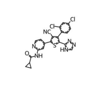 N#Cc1c(-c2ccnc(NC(=O)C3CC3)c2)sc(-c2nnc[nH]2)c1-c1ccc(Cl)cc1Cl